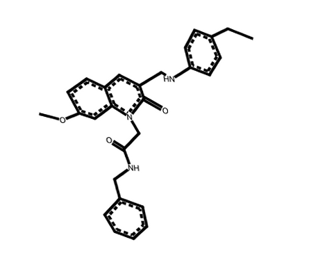 CCc1ccc(NCc2cc3ccc(OC)cc3n(CC(=O)NCc3ccccc3)c2=O)cc1